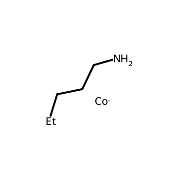 CCCCCN.[Co]